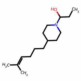 CCC(O)N1CCC(CCCC=C(C)C)CC1